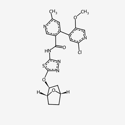 COc1cnc(Cl)cc1-c1cc(C)ncc1C(=O)Nc1nnc(O[C@H]2C[C@@H]3CC[C@H]2O3)s1